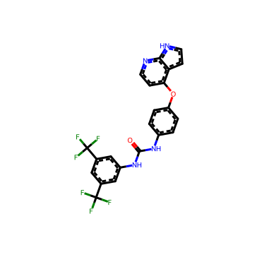 O=C(Nc1ccc(Oc2ccnc3[nH]ccc23)cc1)Nc1cc(C(F)(F)F)cc(C(F)(F)F)c1